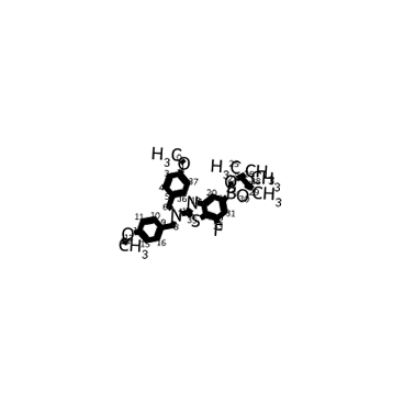 COc1ccc(CN(Cc2ccc(OC)cc2)c2nc3cc(B4OC(C)(C)C(C)(C)O4)cc(F)c3s2)cc1